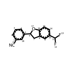 N#Cc1cccc(C2Cc3cc(C(F)F)ccc3O2)c1